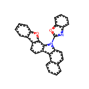 c1ccc2c(c1)ccc1c2c2ccc3c4ccccc4oc3c2n1-c1nc2ccccc2o1